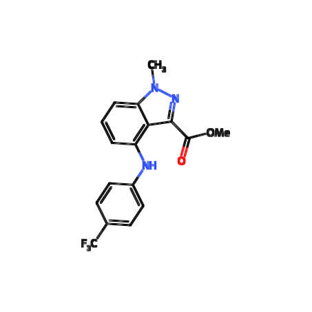 COC(=O)c1nn(C)c2cccc(Nc3ccc(C(F)(F)F)cc3)c12